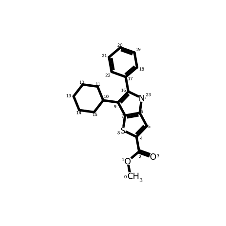 COC(=O)c1cc2c(s1)C(C1CCCCC1)=C(c1ccccc1)[N]2